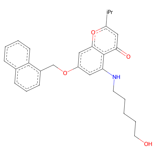 CC(C)c1cc(=O)c2c(NCCCCCO)cc(OCc3cccc4ccccc34)cc2o1